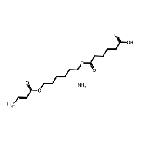 CC=CC(=O)OCCCCCCOC(=O)CCCCC(=O)O.N